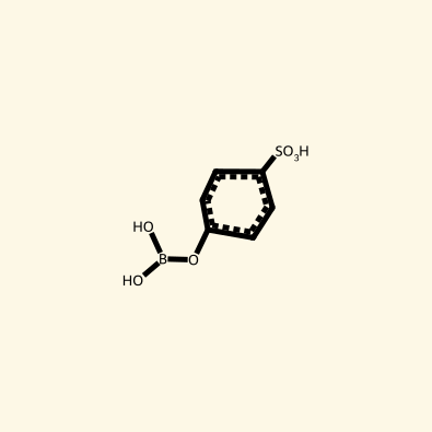 O=S(=O)(O)c1ccc(OB(O)O)cc1